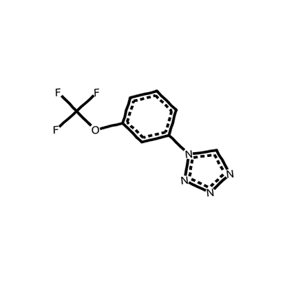 FC(F)(F)Oc1cccc(-n2cnnn2)c1